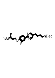 CCCCCCCCCCCCCCc1cnc(-c2ccc(OCCC(F)CCCC)c(F)c2)nc1